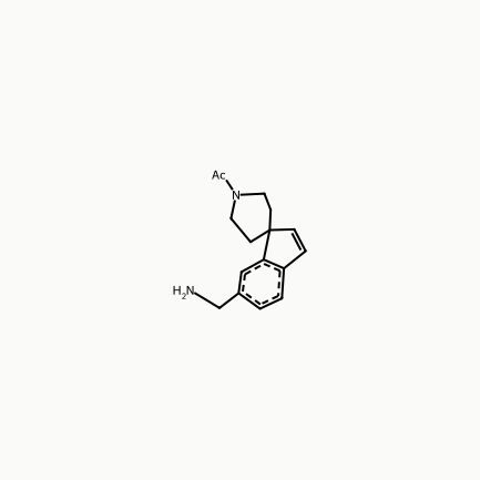 CC(=O)N1CCC2(C=Cc3ccc(CN)cc32)CC1